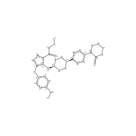 CCOC(=O)c1nnn(Cc2ccc(OC)cc2)c1O[C@H]1CC[C@@H](c2ccc(N3CCCCC3=O)cc2)CC1